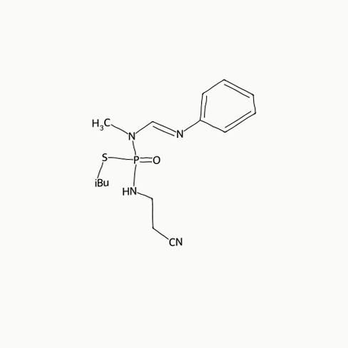 CCC(C)SP(=O)(NCCC#N)N(C)C=Nc1ccccc1